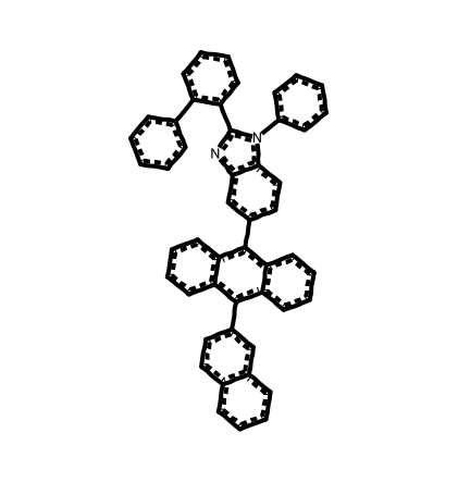 c1ccc(-c2ccccc2-c2nc3cc(-c4c5ccccc5c(-c5ccc6ccccc6c5)c5ccccc45)ccc3n2-c2ccccc2)cc1